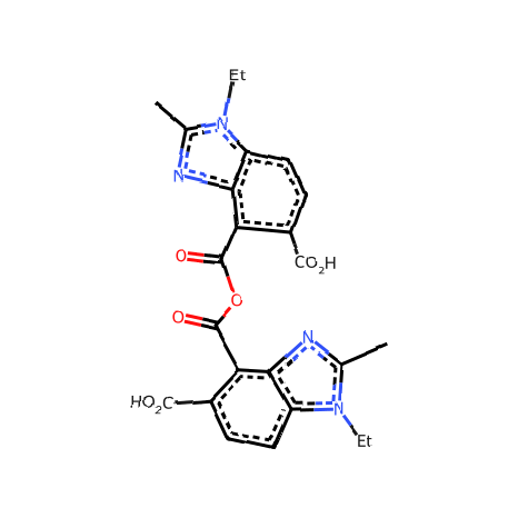 CCn1c(C)nc2c(C(=O)OC(=O)c3c(C(=O)O)ccc4c3nc(C)n4CC)c(C(=O)O)ccc21